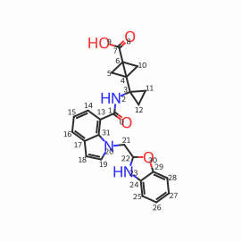 O=C(NC1(C23CC2(C(=O)O)C3)CC1)c1cccc2ccn(CC3Nc4ccccc4O3)c12